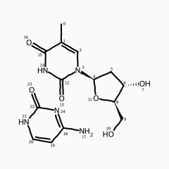 Cc1cn([C@H]2C[C@H](O)[C@@H](CO)O2)c(=O)[nH]c1=O.Nc1cc[nH]c(=O)n1